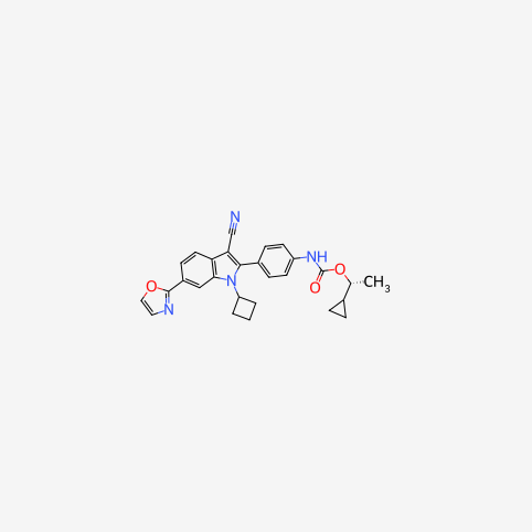 C[C@@H](OC(=O)Nc1ccc(-c2c(C#N)c3ccc(-c4ncco4)cc3n2C2CCC2)cc1)C1CC1